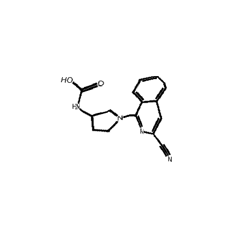 N#Cc1cc2ccccc2c(N2CCC(NC(=O)O)C2)n1